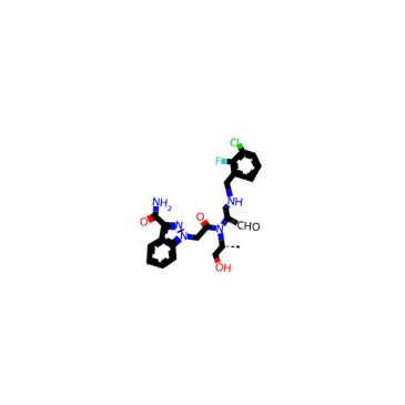 C[C@H](CO)N(C(=O)Cn1nc(C(N)=O)c2ccccc21)C(C=O)CNCc1cccc(Cl)c1F